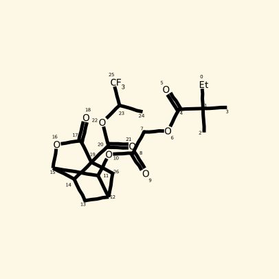 CCC(C)(C)C(=O)OCC(=O)OC1C2CC3C1OC(=O)C3(C(=O)OC(C)C(F)(F)F)C2